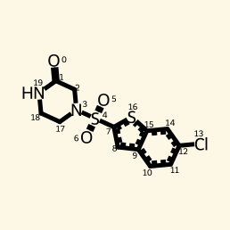 O=C1CN(S(=O)(=O)c2cc3ccc(Cl)cc3s2)CCN1